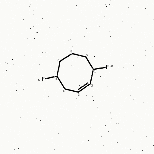 FC1/C=C\CC(F)CCC1